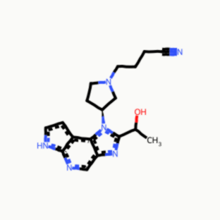 CC(O)c1nc2cnc3[nH]ccc3c2n1[C@H]1CCN(CCCC#N)C1